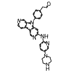 O=CCc1ccc(-n2c3cnccc3c3cnc(Nc4ccc(N5CCNCC5)cn4)cc32)cc1